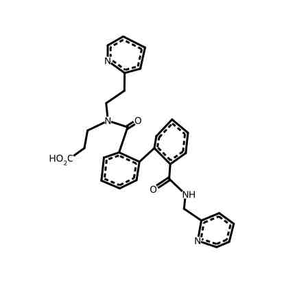 O=C(O)CCN(CCc1ccccn1)C(=O)c1ccccc1-c1ccccc1C(=O)NCc1ccccn1